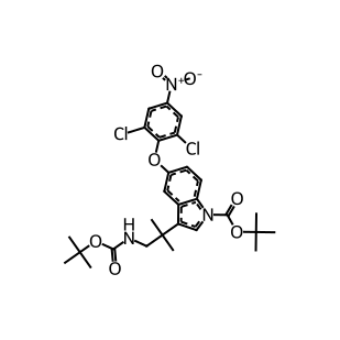 CC(C)(C)OC(=O)NCC(C)(C)c1cn(C(=O)OC(C)(C)C)c2ccc(Oc3c(Cl)cc([N+](=O)[O-])cc3Cl)cc12